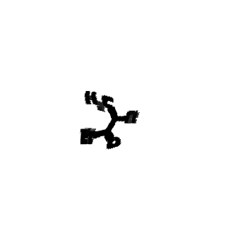 C=C(CC)C(=O)CC